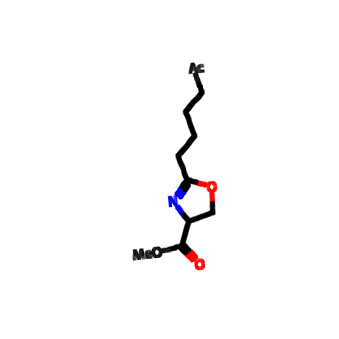 COC(=O)C1COC(CCCCC(C)=O)=N1